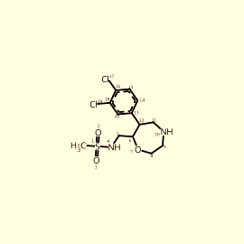 CS(=O)(=O)NCC1OCCNCC1c1ccc(Cl)c(Cl)c1